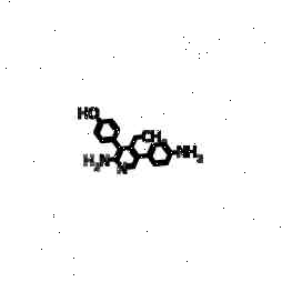 CCc1c(-c2ccc(N)cc2)cnc(N)c1-c1ccc(O)cc1